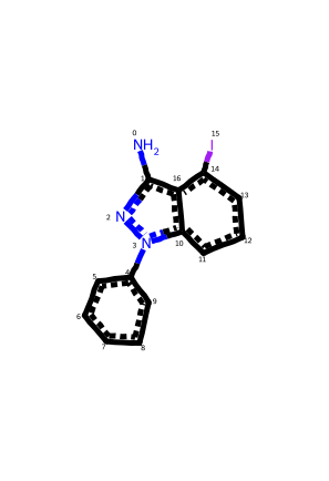 Nc1nn(-c2ccccc2)c2cccc(I)c12